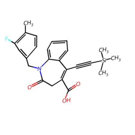 Cc1ccc(CN2C(=O)CC(C(=O)O)=C(C#C[Si](C)(C)C)c3ccccc32)cc1F